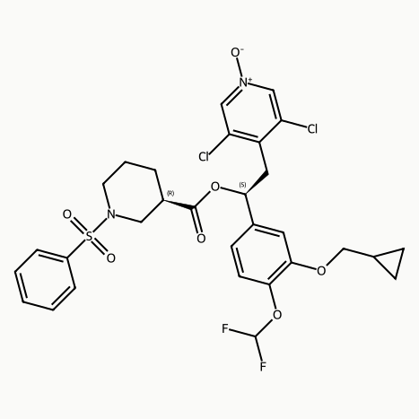 O=C(O[C@@H](Cc1c(Cl)c[n+]([O-])cc1Cl)c1ccc(OC(F)F)c(OCC2CC2)c1)[C@@H]1CCCN(S(=O)(=O)c2ccccc2)C1